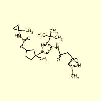 Cc1cc(CC(=O)Nc2cc(C3(C)CCC(OC(=O)NC4(C)CC4)C3)nn2C(C)(C)C)on1